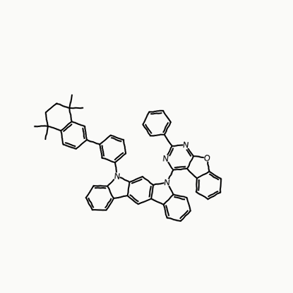 CC1(C)CCC(C)(C)c2cc(-c3cccc(-n4c5ccccc5c5cc6c7ccccc7n(-c7nc(-c8ccccc8)nc8oc9ccccc9c78)c6cc54)c3)ccc21